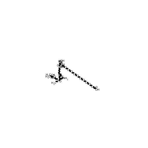 CCCN(CCCNC(=O)CC(C)(C)C)C(=O)C1=Cc2sc(CCCCCNC(=O)C(CS(=O)(=O)O)NC(=O)CCOCCOCCOCCOCCOCCOCCOCCOCCOCCOCCC(=O)O)cc2N=C(N)C1